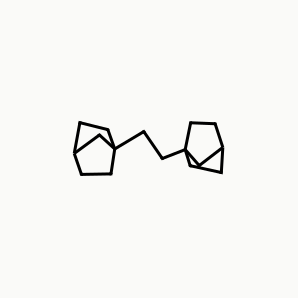 C1CC2(CCC34CCC(CC3)C4)CCC1C2